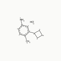 Cc1ccc(N)cc1C1CCC1.Cl